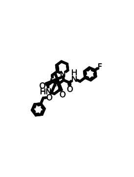 O=C(NCc1ccc(F)cc1)C1N2CCCC=C2C[N+]23CNCC[C@@]12C(=O)C(OCc1ccccc1)C3=O